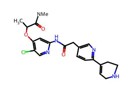 CNC(=O)C(C)Oc1cc(NC(=O)Cc2ccc(C3=CCNCC3)nc2)ncc1Cl